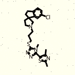 Cc1nc(C)c(-c2nnc(SCCCN3CCC4(CCc5ccc(Cl)cc54)C3)n2C)s1